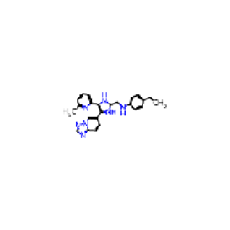 C=Cc1ccc(NCC2NC(c3ccc4ncnn4c3)=C(c3cccc(C)n3)N2)cc1